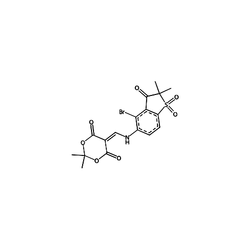 CC1(C)OC(=O)C(=CNc2ccc3c(c2Br)C(=O)C(C)(C)S3(=O)=O)C(=O)O1